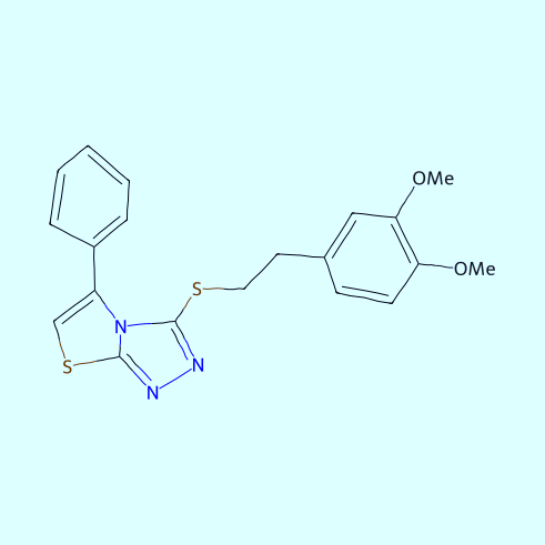 COc1ccc(CCSc2nnc3scc(-c4ccccc4)n23)cc1OC